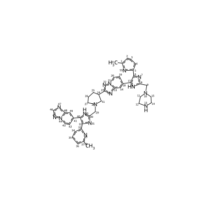 Cc1cccc(-c2nc(CN3CCNCC3)[nH]c2-c2ccn3nc(C4CCCN(Cc5nc(-c6cccc(C)n6)c(-c6ccn7ncnc7c6)[nH]5)C4)nc3c2)n1